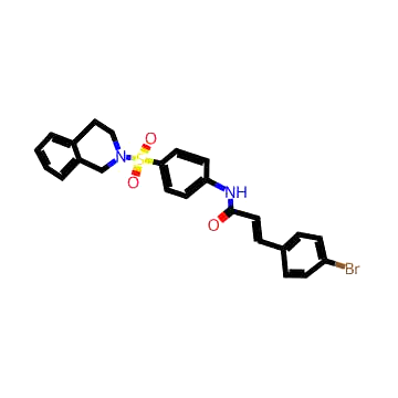 O=C(C=Cc1ccc(Br)cc1)Nc1ccc(S(=O)(=O)N2CCc3ccccc3C2)cc1